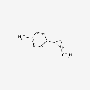 Cc1ccc(C2C[C@@H]2C(=O)O)cn1